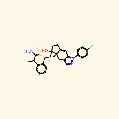 CC(C(N)=O)c1ccccc1CCC1(O)CCC2=Cc3c(cnn3-c3ccc(F)cc3)CC21C